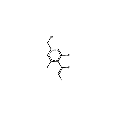 FC=C(F)c1c(F)cc(CBr)cc1F